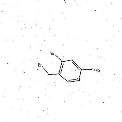 O=Cc1ccc(CBr)c(Br)c1